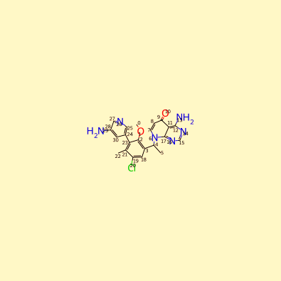 COc1c(C(C)n2ccc(=O)c3c(N)ncnc32)cc(Cl)c(C)c1-c1cncc(N)c1